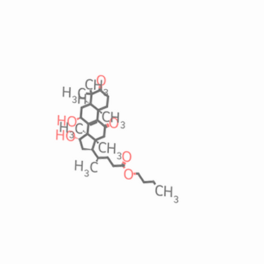 CCCCOC(=O)CC[C@@H](C)[C@H]1C[C@H](O)[C@@]2(C)C3=C(C(=O)C[C@]12C)[C@@]1(C)CCC(=O)C(C)(C)[C@@H]1C[C@@H]3O